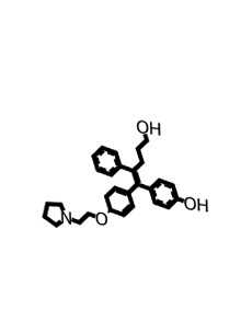 OCCC/C(=C(/C1=CC[C@@H](OCCN2CCCC2)C=C1)c1ccc(O)cc1)c1ccccc1